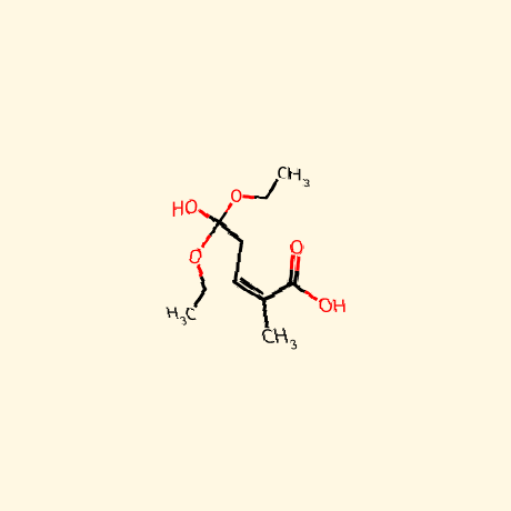 CCOC(O)(CC=C(C)C(=O)O)OCC